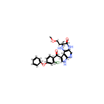 COCC[C@@]1(C)Nc2c(cnc3[nH]cc(C(=O)c4ccc(Oc5ccccc5)cc4Cl)c23)NC1=O